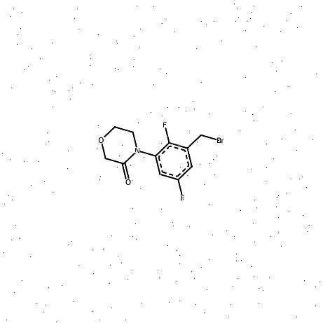 O=C1COCCN1c1cc(F)cc(CBr)c1F